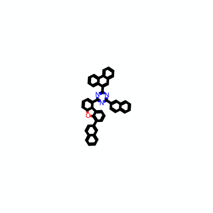 C1=CC2Oc3c(-c4ccc5ccccc5c4)cccc3C2C(c2nc(-c3ccc4ccccc4c3)nc(-c3cc4ccccc4c4ccccc34)n2)=C1